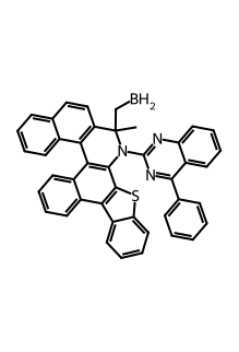 BCC1(C)c2ccc3ccccc3c2-c2c(c3sc4ccccc4c3c3ccccc23)N1c1nc(-c2ccccc2)c2ccccc2n1